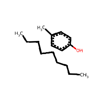 CCCCCCCCC.Cc1ccc(O)cc1